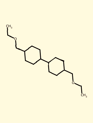 CCOCC1CCC(C2CCC(COCC)CC2)CC1